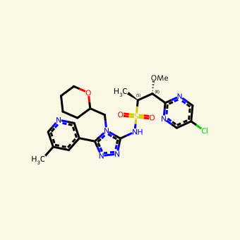 CO[C@H](c1ncc(Cl)cn1)[C@H](C)S(=O)(=O)Nc1nnc(-c2cncc(C)c2)n1CC1CCCCO1